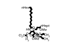 C=CCOP(=O)(OCC=C)O[C@@H]1C(COC)O[C@H](OC(N)C(Cl)(Cl)Cl)[C@H](NC(=O)CCCCCCCCC/C=C\CCCCCC)C1OCCC(CCCCCCC)OC